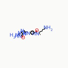 C[C@H](CCCCN)NC(=O)c1ccc(NCc2cnc3nc(N)[nH]c(=O)c3n2)cc1